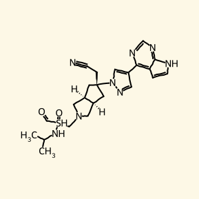 CC(C)N[SH](=O)(C=O)CN1C[C@@H]2C[C@@](CC#N)(n3cc(-c4ncnc5[nH]ccc45)cn3)C[C@@H]2C1